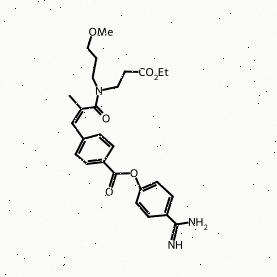 CCOC(=O)CCN(CCCOC)C(=O)C(C)=Cc1ccc(C(=O)Oc2ccc(C(=N)N)cc2)cc1